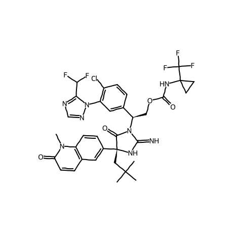 Cn1c(=O)ccc2cc([C@@]3(CC(C)(C)C)NC(=N)N([C@H](COC(=O)NC4(C(F)(F)F)CC4)c4ccc(Cl)c(-n5ncnc5C(F)F)c4)C3=O)ccc21